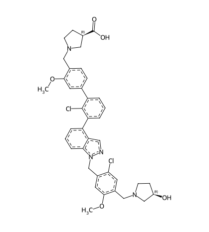 COc1cc(Cn2ncc3c(-c4cccc(-c5ccc(CN6CC[C@@H](C(=O)O)C6)c(OC)c5)c4Cl)cccc32)c(Cl)cc1CN1CC[C@@H](O)C1